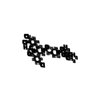 CN(C(=O)c1ccc(Cl)cc1)[C@@H]1CCN(C(=O)CC2CCN(C(=O)OC(C)(C)C)CC2)C[C@H]1c1ccc(Cl)c(Cl)c1